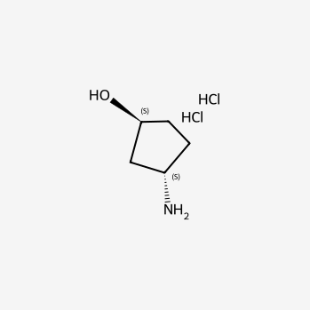 Cl.Cl.N[C@H]1CC[C@H](O)C1